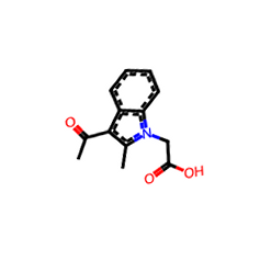 CC(=O)c1c(C)n(CC(=O)O)c2ccccc12